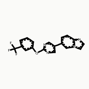 FC(F)(F)c1cccc(Oc2ncc(-c3ccc4nccn4c3)cn2)c1